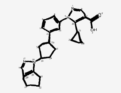 O=C(O)c1cnn(-c2cccc(C3CCC(n4ncc5c4CCC5)C3)c2)c1C1CC1